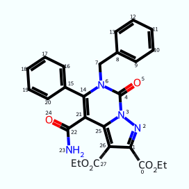 CCOC(=O)c1nn2c(=O)n(Cc3ccccc3)c(-c3ccccc3)c(C(N)=O)c2c1C(=O)OCC